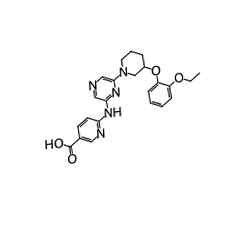 CCOc1ccccc1OC1CCCN(c2cncc(Nc3ccc(C(=O)O)cn3)n2)C1